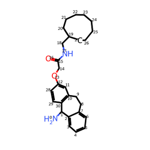 NC1c2ccccc2CCc2cc(OCC(=O)NCC3CCCCCCCC3)ccc21